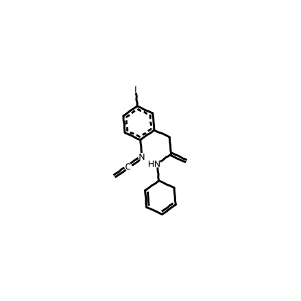 C=C=Nc1ccc(I)cc1CC(=C)NC1C=CC=CC1